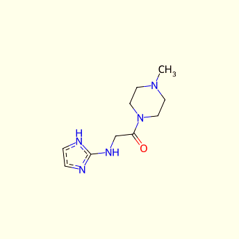 CN1CCN(C(=O)CNc2ncc[nH]2)CC1